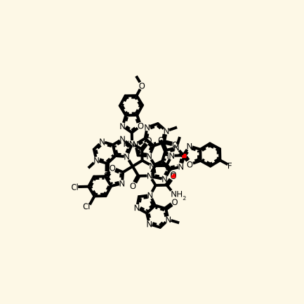 COc1ccc2nc(NC(=O)C(n3cnc4ncn(C)c(=O)c43)C(C(=O)N(C(C(N)=O)n3cnc4ncn(C)c(=O)c43)C(C(=O)Nc3nc4ccc(F)cc4o3)n3cnc4ncn(C)c(=O)c43)(c3nc4cc(Cl)c(Cl)cc4o3)n3cnc4ncn(C)c(=O)c43)oc2c1